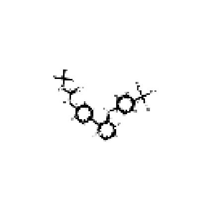 CC(C)(C)OC(=O)Nc1ccc(-c2nccnc2Sc2ccc(C(F)(F)F)cc2)cc1